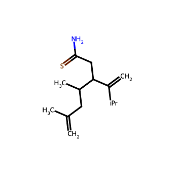 C=C(C)CC(C)C(CC(N)=S)C(=C)C(C)C